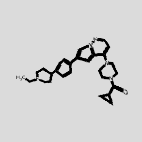 CCN1CCC(c2ccc(-c3cc4c(N5CCN(C(=O)C6CC6)CC5)ccnn4c3)cc2)CC1